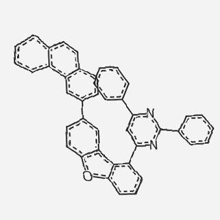 c1ccc(-c2cc(-c3cccc4oc5ccc(-c6ccc7ccc8ccccc8c7c6)cc5c34)nc(-c3ccccc3)n2)cc1